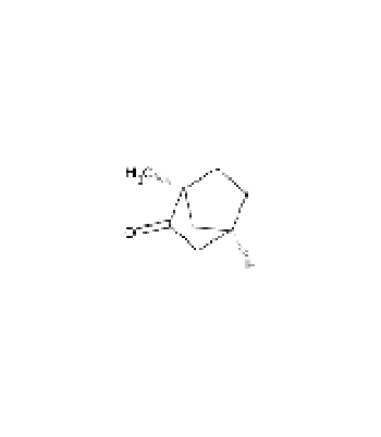 C[C@@]12CC[C@@H](CC1=O)C2